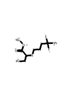 CCCC(F)(F)CCCSC(CC(C)C)C(=O)OC(C)(C)C